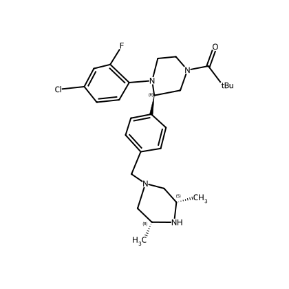 C[C@@H]1CN(Cc2ccc([C@@H]3CN(C(=O)C(C)(C)C)CCN3c3ccc(Cl)cc3F)cc2)C[C@H](C)N1